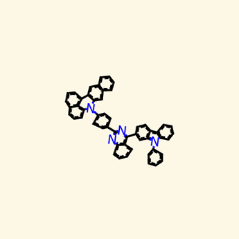 c1ccc(-n2c3ccccc3c3ccc(-c4nc(-c5ccc(N6c7cc8ccccc8cc7-c7cccc8cccc6c78)cc5)nc5ccccc45)cc32)cc1